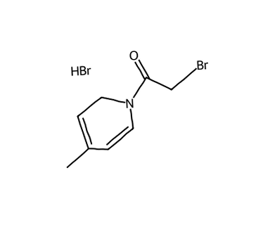 Br.CC1=CCN(C(=O)CBr)C=C1